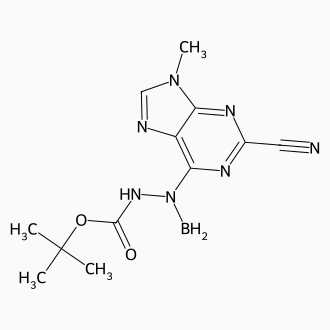 BN(NC(=O)OC(C)(C)C)c1nc(C#N)nc2c1ncn2C